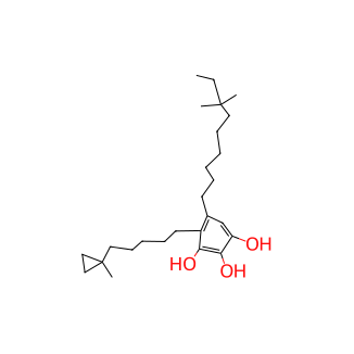 CCC(C)(C)CCCCCCc1cc(O)c(O)c(O)c1CCCCCC1(C)CC1